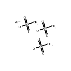 CS(=O)(=O)[O-].CS(=O)(=O)[O-].CS(=O)(=O)[O-].[Yb+3]